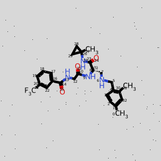 Cc1ccc(CNC[C@H](NC(=O)CNC(=O)c2cccc(C(F)(F)F)c2)C(=O)NC2(C)CC2)c(C)c1